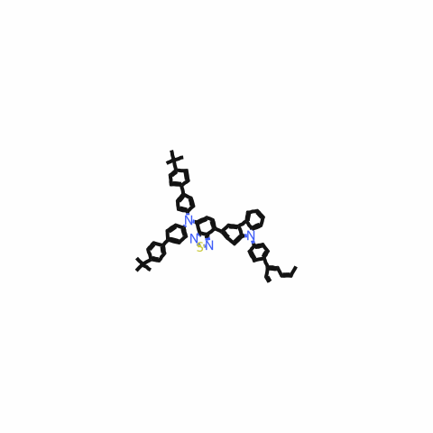 C=C/C(=C\C=C/C)c1ccc(-n2c3ccccc3c3cc(-c4ccc(N(c5ccc(-c6ccc(C(C)(C)C)cc6)cc5)c5ccc(-c6ccc(C(C)(C)C)cc6)cc5)c5nsnc45)ccc32)cc1